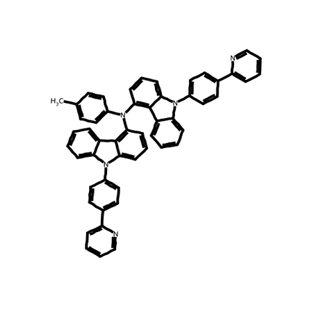 Cc1ccc(N(c2cccc3c2c2ccccc2n3-c2ccc(-c3ccccn3)cc2)c2cccc3c2c2ccccc2n3-c2ccc(-c3ccccn3)cc2)cc1